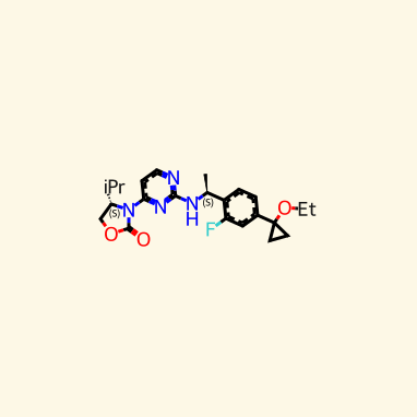 CCOC1(c2ccc([C@H](C)Nc3nccc(N4C(=O)OC[C@@H]4C(C)C)n3)c(F)c2)CC1